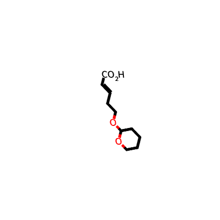 O=C(O)C=CCCOC1CCCCO1